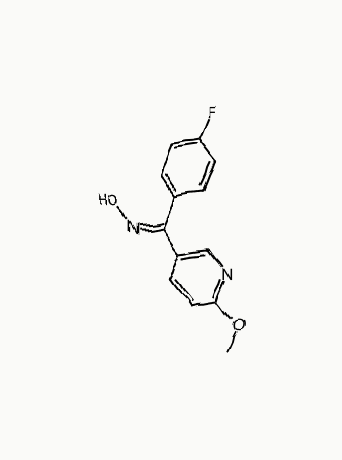 COc1ccc(C(=NO)c2ccc(F)cc2)cn1